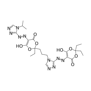 CCC1(CC)OC(=O)C(N=Nc2nncn2CCCC2(CC)OC(=O)C(N=Nc3nncn3C(C)C)=C(O)O2)=C(O)O1